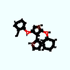 Cc1ccccc1Oc1[c]sc(Oc2ccccc2)c1-c1cccs1